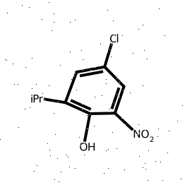 CC(C)c1cc(Cl)cc([N+](=O)[O-])c1O